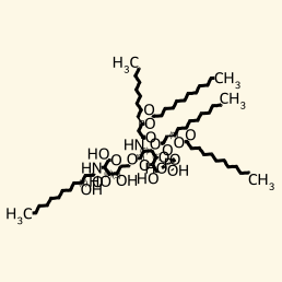 CCCCCCCCCCCC(=O)O[C@H](CCCCCCCCC)CC(=O)N[C@H]1C(OC(=O)C[C@@H](CCCCCCCCC)OC(=O)CCCCCCCCCCC)[C@H](OP(=O)(O)O)C(CO)O[C@H]1OCC1OC(O)C(NC(=O)C[C@H](O)CCCCCCCCC)[C@@H](O)[C@@H]1O